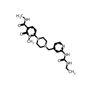 CCNC(=O)Nc1cc(CN2CCN(c3ccc(C(=O)NC)c(=O)n3C)CC2)ccn1